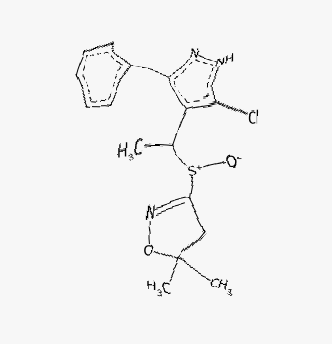 CC(c1c(-c2ccccc2)n[nH]c1Cl)[S+]([O-])C1=NOC(C)(C)C1